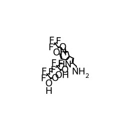 NCc1cc2cnccc2[nH]1.O=C(O)C(F)(F)F.O=C(O)C(F)(F)F.O=C(O)C(F)(F)F